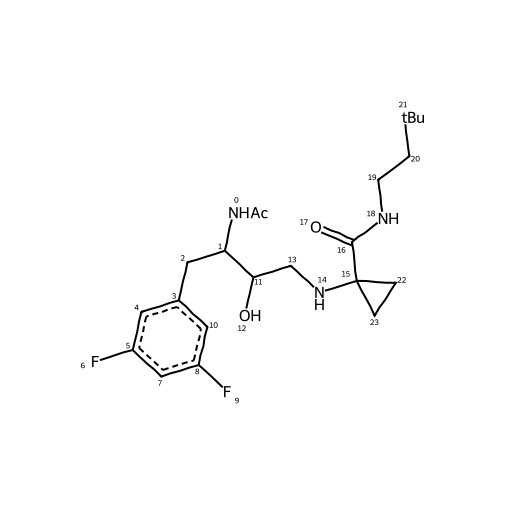 CC(=O)NC(Cc1cc(F)cc(F)c1)C(O)CNC1(C(=O)NCCC(C)(C)C)CC1